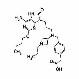 CCCCOc1nc(N)c2[nH]c(=O)n(CCCN(Cc3ccc(CC(=O)O)cc3)C3CN(CCC)C3)c2n1